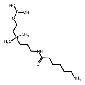 C[N+](C)(CCCNC(=O)CCCCCN)CCOP(O)O